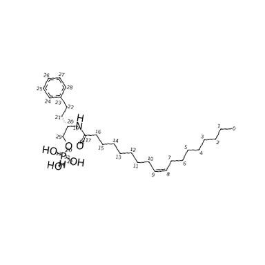 CCCCCCCC/C=C\CCCCCCCC(=O)N[C@@H](CCc1ccccc1)CO[PH](O)(O)O